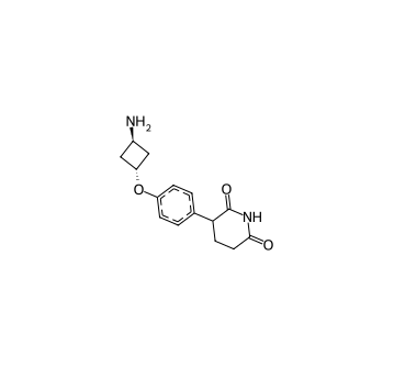 N[C@H]1C[C@H](Oc2ccc(C3CCC(=O)NC3=O)cc2)C1